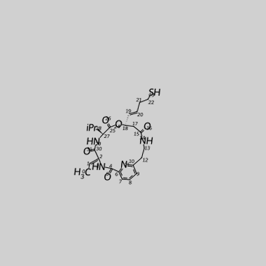 C/C=C1\NC(=O)c2cccc(n2)CCNC(=O)C[C@@H](/C=C/CCS)OC(=O)[C@H](C(C)C)NC1=O